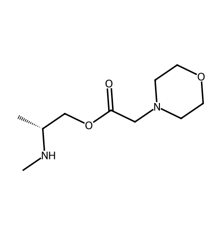 CN[C@H](C)COC(=O)CN1CCOCC1